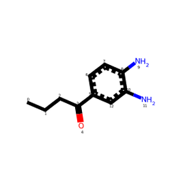 CCCC(=O)c1ccc(N)c(N)c1